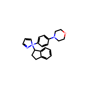 C1=C[N+](c2ccc(N3CCOCC3)cc2)(C2CCc3ccccc32)N=C1